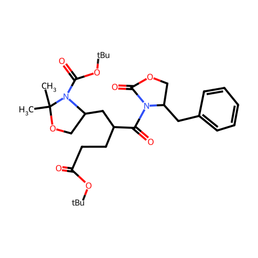 CC(C)(C)OC(=O)CCC(CC1COC(C)(C)N1C(=O)OC(C)(C)C)C(=O)N1C(=O)OCC1Cc1ccccc1